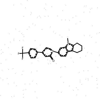 Cn1c2c(c3ccc(-n4ccc(-c5ccc(C(F)(F)F)cc5)cc4=O)cc31)CCCC2